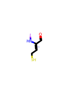 O=C/C(=C/CS)NI